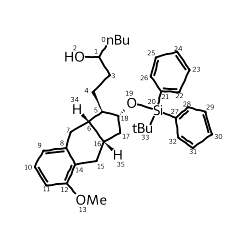 CCCCC(O)CC[C@@H]1[C@H]2Cc3cccc(OC)c3C[C@H]2C[C@H]1O[Si](c1ccccc1)(c1ccccc1)C(C)(C)C